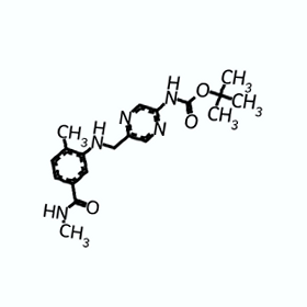 CNC(=O)c1ccc(C)c(NCc2cnc(NC(=O)OC(C)(C)C)cn2)c1